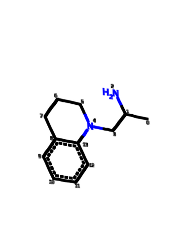 CC(N)CN1CCCc2ccccc21